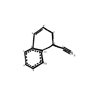 N#CC1CC=Cc2ccccc21